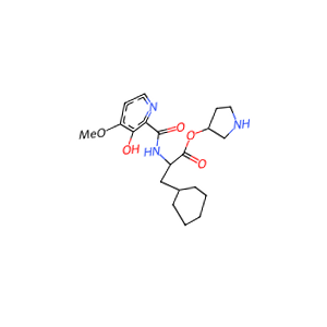 COc1ccnc(C(=O)NC(CC2CCCCC2)C(=O)OC2CCNC2)c1O